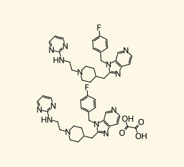 Fc1ccc(Cn2c(CC3CCN(CCNc4ncccn4)CC3)nc3ccncc32)cc1.Fc1ccc(Cn2c(CC3CCN(CCNc4ncccn4)CC3)nc3ccncc32)cc1.O=C(O)C(=O)O